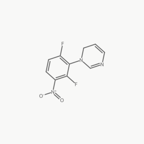 O=[N+]([O-])c1ccc(F)c(N2C=NC=CC2)c1F